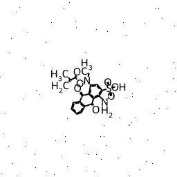 C=C(C)C(=O)ON(CC)c1cc(S(=O)(=O)O)c(N)c2c1C(=O)c1ccccc1C2=O